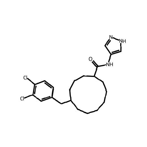 O=C(Nc1cn[nH]c1)C1CCCCCCC(Cc2ccc(Cl)c(Cl)c2)CCC1